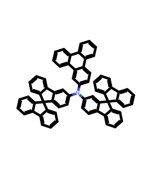 c1ccc2c(c1)-c1ccccc1C21c2ccccc2-c2cc(N(c3ccc4c(c3)C3(c5ccccc5-c5ccccc53)c3ccccc3-4)c3ccc4c5ccccc5c5ccccc5c4c3)ccc21